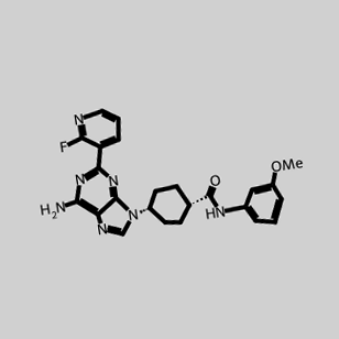 COc1cccc(NC(=O)[C@H]2CC[C@@H](n3cnc4c(N)nc(-c5cccnc5F)nc43)CC2)c1